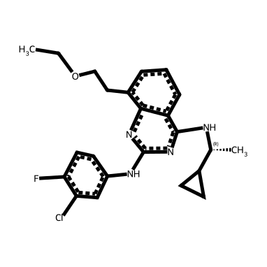 CCOCCc1cccc2c(N[C@H](C)C3CC3)nc(Nc3ccc(F)c(Cl)c3)nc12